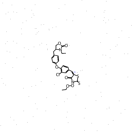 CCOON1C(=O)/C(=C\c2ccc(Oc3ccc(CC4COC(=O)N4CC)cc3)c(Cl)c2)SC1=S